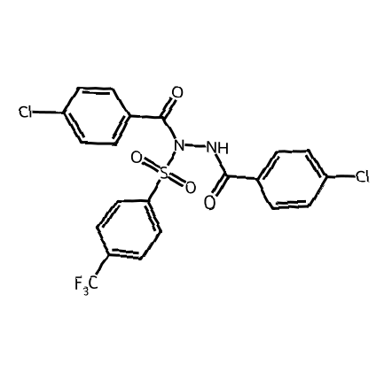 O=C(NN(C(=O)c1ccc(Cl)cc1)S(=O)(=O)c1ccc(C(F)(F)F)cc1)c1ccc(Cl)cc1